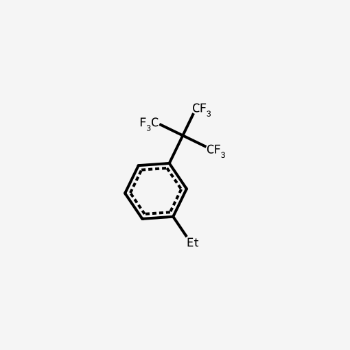 CCc1cccc(C(C(F)(F)F)(C(F)(F)F)C(F)(F)F)c1